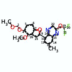 COCOc1ccc2oc(-c3cc(C)cc4nc(OC(F)F)cnc34)cc2c1OC